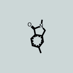 Cc1ccc2c(c1)CN(C)C2=O